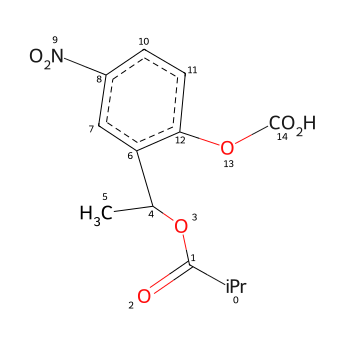 CC(C)C(=O)OC(C)c1cc([N+](=O)[O-])ccc1OC(=O)O